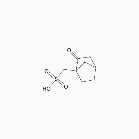 O=C1CC2CCC1(CS(=O)(=O)O)C2